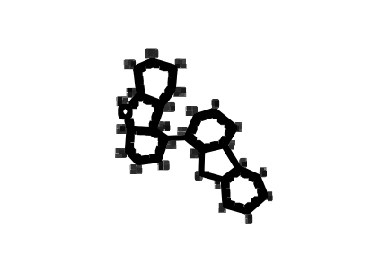 [CH]1c2ccccc2-c2cccc(-c3cccc4oc5ccccc5c34)c21